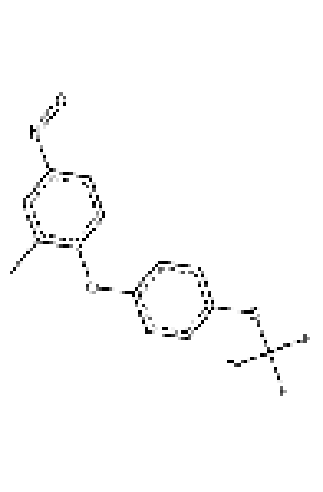 Cc1cc(N=O)ccc1Oc1ccc(SC(F)(F)F)cc1